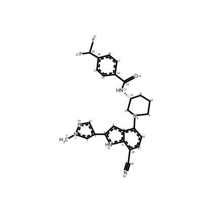 Cn1cc(-c2cc3c(N4CCC[C@@H](NC(=O)c5ccc(C(F)F)cc5)C4)ccc(C#N)c3[nH]2)cn1